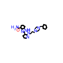 NC(=O)c1cccc2[nH]c(-c3cccnc3NCCCN3CCN(Cc4ccccc4)CC3)nc12